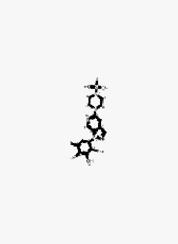 Cc1cc(-n2ncc3cc(N4CCN(S(C)(=O)=O)CC4)ncc32)c(F)c(O)c1F